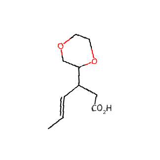 CC=CC(CC(=O)O)C1COCCO1